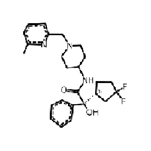 Cc1cccc(CN2CCC(NC(=O)C(O)(c3ccccc3)[C@@H]3CCC(F)(F)C3)CC2)n1